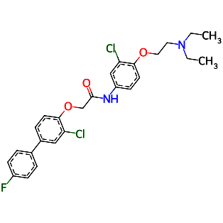 CCN(CC)CCOc1ccc(NC(=O)COc2ccc(-c3ccc(F)cc3)cc2Cl)cc1Cl